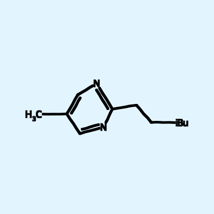 CCC(C)CCc1ncc(C)cn1